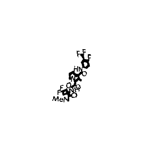 CNC(=O)C1(NC(=O)C(=O)c2c(C)c(C(=O)Nc3ccc(F)c(C(F)F)c3)c3n2CCC3)CC(F)(F)C1